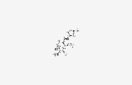 N[C@@H]1C(=O)N2C(C(=O)O)=C(CSC3CC[S+]([O-])C3)CS[C@H]12